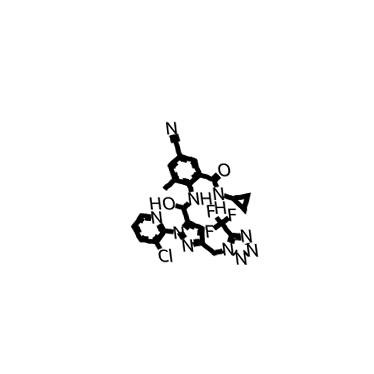 Cc1cc(C#N)cc(C(=O)NC2CC2)c1NC(O)c1cc(Cn2nnnc2C(F)(F)F)nn1-c1ncccc1Cl